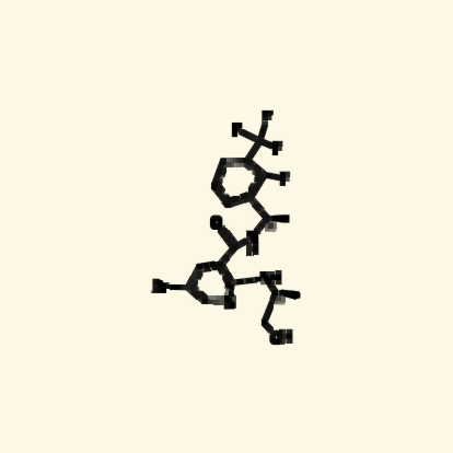 C[C@@H](CO)Nc1ncc(Br)cc1C(=O)N[C@H](C)c1cccc(C(F)(F)F)c1F